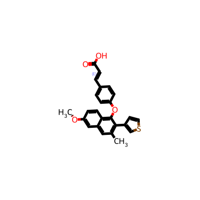 COc1ccc2c(Oc3ccc(/C=C/C(=O)O)cc3)c(-c3ccsc3)c(C)cc2c1